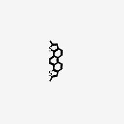 Cc1cc2ccc3c4ccc5cc(C)sc5c4ccc3c2s1